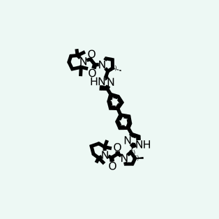 C[C@H]1CCN(C(=O)C(=O)N2C(C)(C)CCCC2(C)C)C1c1nc(-c2ccc(-c3ccc(-c4c[nH]c([C@@H]5[C@@H](C)CCN5C(=O)C(=O)N5C(C)(C)CCCC5(C)C)n4)cc3)cc2)c[nH]1